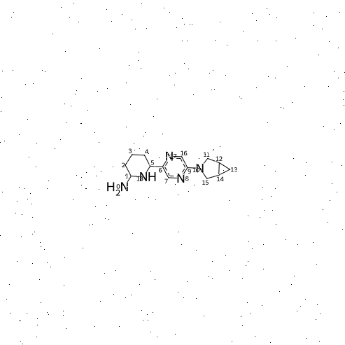 NC1CCCC(c2cnc(N3CC4CC4C3)cn2)N1